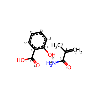 C=C(C)C(N)=O.O=C(O)c1ccccc1O